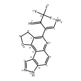 N=C(/C(=C\N)c1nc2ccc3[nH]ncc3c2c2c1CCO2)C(F)(F)F